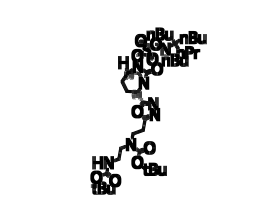 CCCCN(OS(=O)(=O)ON1C(=O)N2C[C@@H]1CC[C@H]2c1nnc(CCN(CCNC(=O)OC(C)(C)C)C(=O)OC(C)(C)C)o1)C(CCC)(CCCC)CCCC